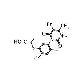 CCc1c(C(F)(F)F)n(C)c(=O)n(-c2cc(SC(C)C(=O)O)c(Cl)cc2F)c1=O